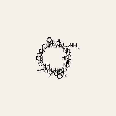 CCCC[C@@H]1NC(=O)[C@H](C(C)C)NC(=O)[C@@H]2CCCN2C(=O)[C@@H](Cc2ccccc2)N(N)C(=O)[C@H](CC(C)C)NC(=O)[C@H](CCCN)NC(=O)[C@H](C(C)C)NC(=O)[C@@H]2CCCN2C(=O)[C@@H](Cc2ccccc2)N(N)C(=O)[C@H](CC(C)C)NC1=O